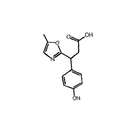 Cc1cnc(C(CC(=O)O)c2ccc(O)cc2)o1